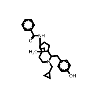 CC12CCN(CC3CC3)C(Cc3ccc(O)cc3)C13CCC(NC(=O)c1ccccc1)C2CC3